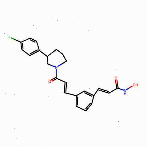 O=C(C=Cc1cccc(C=CC(=O)N2CCCC(c3ccc(F)cc3)C2)c1)NO